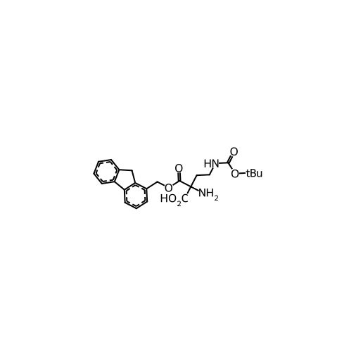 CC(C)(C)OC(=O)NCCC(N)(C(=O)O)C(=O)OCc1cccc2c1Cc1ccccc1-2